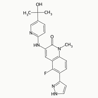 Cn1c(=O)c(Nc2ccc(C(C)(C)O)cn2)cc2c(F)c(-c3cc[nH]n3)ccc21